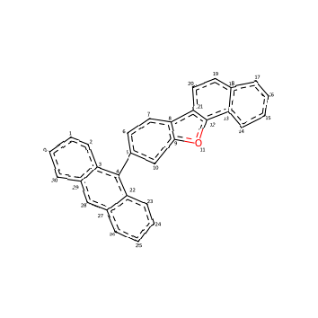 c1ccc2c(-c3ccc4c(c3)oc3c5ccccc5ccc43)c3ccccc3cc2c1